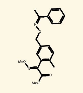 CO/N=C(/C(=O)OC)c1cc(CO/N=C(/C)c2ccccc2)ccc1C